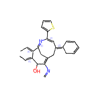 C=NC1=C2CC(=C3/C=CC=CC3)/C=C(c3cccs3)\N=C(C2)\C(=C\C)C(=C/C)\C1O